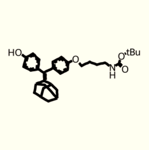 CC(C)(C)OC(=O)NCCCCOc1ccc(C(=C2C3CC4CC(C3)CC2C4)c2ccc(O)cc2)cc1